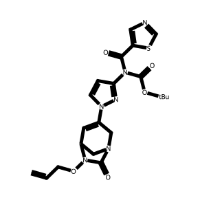 C=CCON1C(=O)N2CC(n3ccc(N(C(=O)OC(C)(C)C)C(=O)c4cncs4)n3)=CC1C2